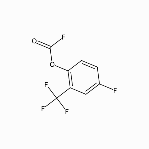 O=C(F)Oc1ccc(F)cc1C(F)(F)F